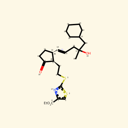 CCOC(=O)c1csc(SCC[C@H]2C(=O)CC[C@@H]2/C=C/CC(C)(O)CC2CCCCC2)n1